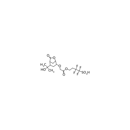 CC(C)(O)C1CC(OCC(=O)OCCC(F)(F)C(F)(F)S(=O)(=O)O)C2CC1C(=O)O2